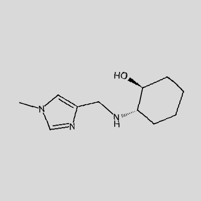 Cn1cnc(CN[C@H]2CCCC[C@@H]2O)c1